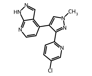 Cn1cc(-c2ccnc3[nH]ncc23)c(-c2ccc(Cl)cn2)n1